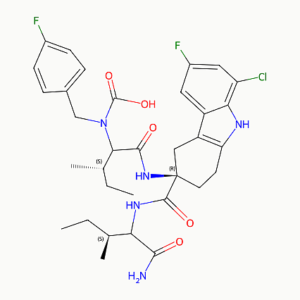 CC[C@H](C)C(NC(=O)[C@@]1(NC(=O)C([C@@H](C)CC)N(Cc2ccc(F)cc2)C(=O)O)CCc2[nH]c3c(Cl)cc(F)cc3c2C1)C(N)=O